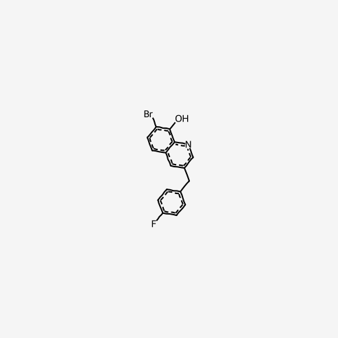 Oc1c(Br)ccc2cc(Cc3ccc(F)cc3)cnc12